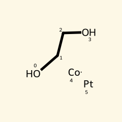 OCCO.[Co].[Pt]